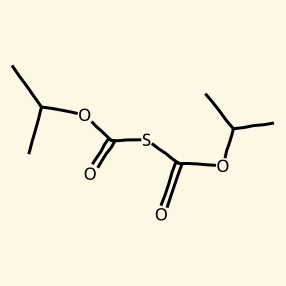 CC(C)OC(=O)SC(=O)OC(C)C